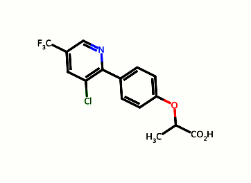 CC(Oc1ccc(-c2ncc(C(F)(F)F)cc2Cl)cc1)C(=O)O